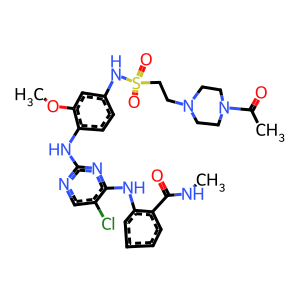 CNC(=O)c1ccccc1Nc1nc(Nc2ccc(NS(=O)(=O)CCN3CCN(C(C)=O)CC3)cc2OC)ncc1Cl